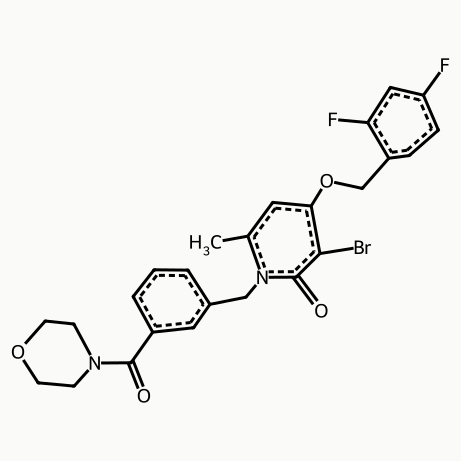 Cc1cc(OCc2ccc(F)cc2F)c(Br)c(=O)n1Cc1cccc(C(=O)N2CCOCC2)c1